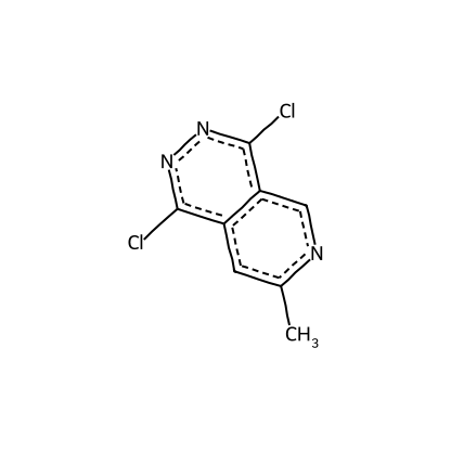 Cc1cc2c(Cl)nnc(Cl)c2cn1